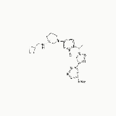 CNc1cnnc(-c2cn(C(C)n3ccc(N4CCC[C@@H](NCC5CCC5)C4)cc3=O)nn2)c1